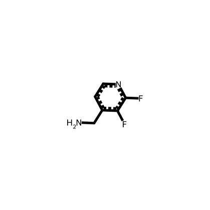 NCc1ccnc(F)c1F